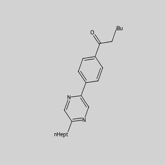 CCCCCCCc1cnc(-c2ccc(C(=O)CC(C)CC)cc2)cn1